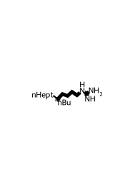 CCCCCCC[C@H](CCCC)CCCCNC(=N)N